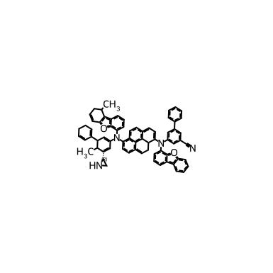 CC1CC=Cc2oc3c(N(C4=CC(C5=CCCC=C5)C(C)C([C@@H]5CN5)=C4)c4ccc5c6c7c(ccc46)=CC=C(N(c4cc(C#N)cc(-c6ccccc6)c4)c4cccc6c4oc4ccccc46)C7CC=5)cccc3c21